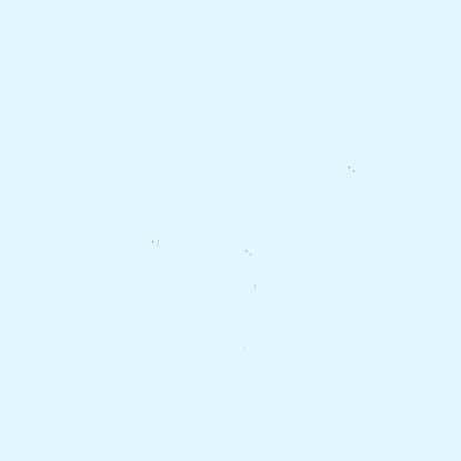 CC(C)CC(NC(=O)c1cc(Cl)ccc1O)C(=O)Nc1ccc([N+](=O)[O-])cc1Cl